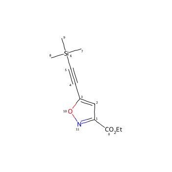 CCOC(=O)c1cc(C#C[Si](C)(C)C)on1